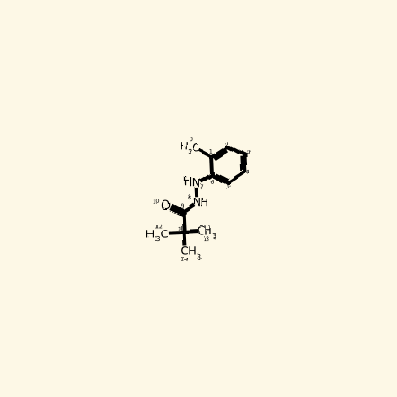 Cc1ccccc1NNC(=O)C(C)(C)C